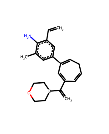 C=Cc1cc(C2=CCC=CC(C(=C)B3CCOCC3)=C2)cc(C)c1N